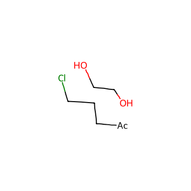 CC(=O)CCCCl.OCCO